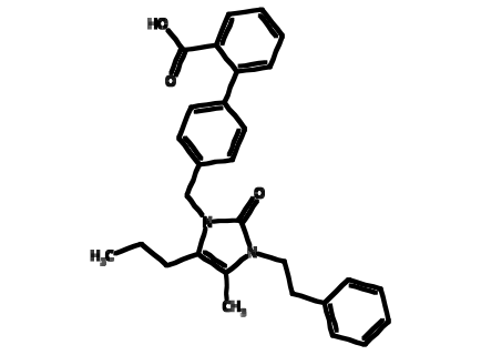 CCCc1c(C)n(CCc2ccccc2)c(=O)n1Cc1ccc(-c2ccccc2C(=O)O)cc1